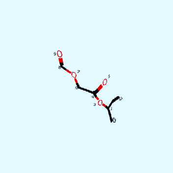 CC(C)OC(=O)COC=O